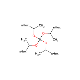 CCCCCCC(C)O[Si](OC(C)CCCCCC)(OC(C)CCCCCC)OC(C)CCCCCC